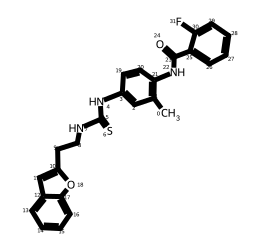 Cc1cc(NC(=S)NCCc2cc3ccccc3o2)ccc1NC(=O)c1ccccc1F